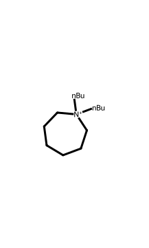 CCCC[N+]1(CCCC)CCCCCC1